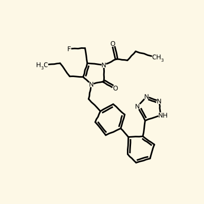 CCCC(=O)n1c(CF)c(CCC)n(Cc2ccc(-c3ccccc3-c3nnn[nH]3)cc2)c1=O